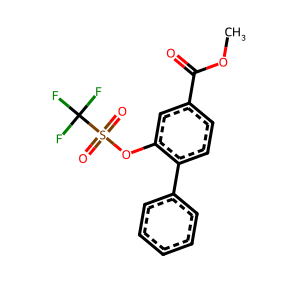 COC(=O)c1ccc(-c2ccccc2)c(OS(=O)(=O)C(F)(F)F)c1